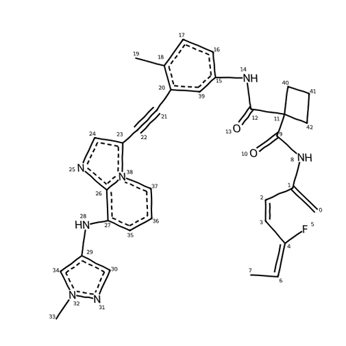 C=C(/C=C\C(F)=C/C)NC(=O)C1(C(=O)Nc2ccc(C)c(C#Cc3cnc4c(Nc5cnn(C)c5)cccn34)c2)CCC1